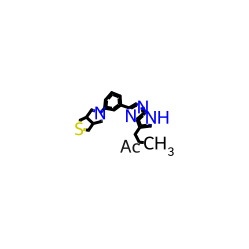 CC(=O)C(C)Cc1c[nH]c2ncc(-c3cccc(N4CC5CSCC5C4)c3)nc12